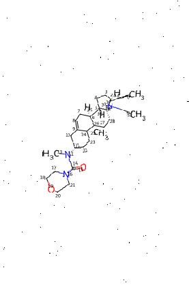 C[C@H]1[C@H]2CC[C@H]3[C@@H]4CC=C5C[C@@H](N(C)C(=O)N6CCOCC6)CC[C@]5(C)C4CC[C@]23CN1C